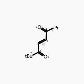 CC(C)C(=O)/C=C/C(=O)C(C)(C)C